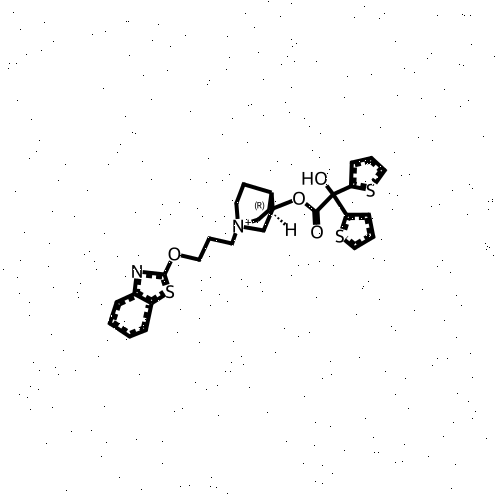 O=C(O[C@H]1C[N+]2(CCCOc3nc4ccccc4s3)CCC1CC2)C(O)(c1cccs1)c1cccs1